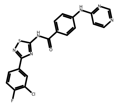 O=C(Nc1nc(-c2ccc(F)c(Cl)c2)ns1)c1ccc(Nc2ccncn2)cc1